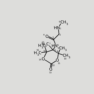 CNCC(=O)NC1(C)C(C)(C)OC(=O)OC1(C)C